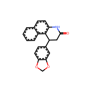 O=C1CC(c2ccc3c(c2)OCO3)c2c(ccc3ccccc23)N1